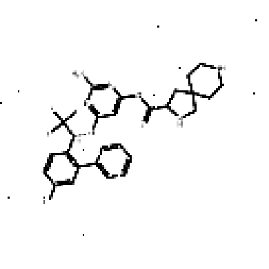 Nc1nc(OC(=O)C2CC3(CCNCC3)CN2)cc(O[C@H](c2ccc(Cl)cc2-c2ccccc2)C(F)(F)F)n1